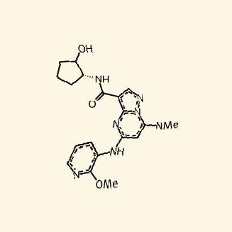 CNc1cc(Nc2cccnc2OC)nc2c(C(=O)N[C@@H]3CCCC3O)cnn12